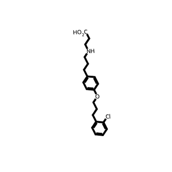 O=C(O)CCNCCCc1ccc(OCCCc2ccccc2Cl)cc1